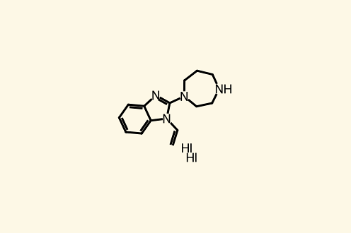 C=Cn1c(N2CCCNCC2)nc2ccccc21.I.I